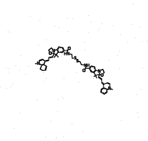 CN1C=C/C(=C\C=C\C23OCCN2c2ccc(C(=O)NCCSSCCNC(=O)c4ccc5c(c4)C(C)(C)C4(/C=C/C=C6\C=CN(C)c7ccccc76)OCCN54)cc2C3(C)C)C2=C1CCC=C2